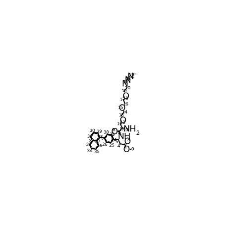 COC(=O)CC(NC(=O)[C@@H](N)COCCOCCOCCN=[N+]=[N-])c1ccc(-c2cccc3ccccc23)cc1